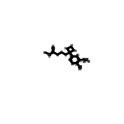 COC(=O)CCCC1(c2ccc(Cl)c(N)c2)CCC1